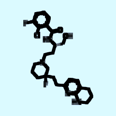 O=C(N[C@H](CO)CCN1CCC[C@@](F)(CCc2ccc3c(n2)NCCC3)C1)c1cccc(F)c1Cl